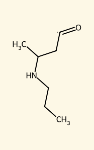 CCCNC(C)C[C]=O